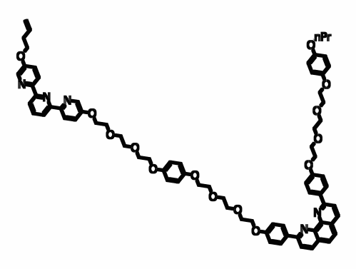 C=CCCOc1ccc(-c2cccc(-c3ccc(OCCOCCOCCOc4ccc(OCCOCCOCCOc5ccc(-c6ccc7ccc8ccc(-c9ccc(OCCOCCOCCOc%10ccc(OCCC)cc%10)cc9)nc8c7n6)cc5)cc4)cn3)n2)nc1